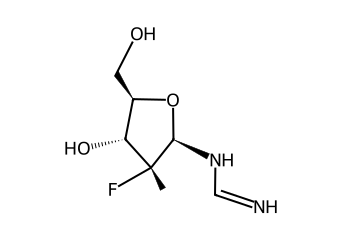 C[C@]1(F)[C@H](NC=N)O[C@H](CO)[C@H]1O